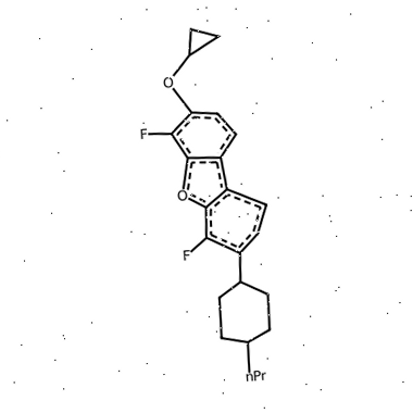 CCCC1CCC(c2ccc3c(oc4c(F)c(OC5CC5)ccc43)c2F)CC1